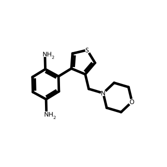 Nc1ccc(N)c(-c2cscc2CN2CCOCC2)c1